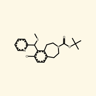 CSC(c1ccccn1)c1c(Cl)ccc2c1CCN(C(=O)OC(C)(C)C)CC2